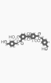 O=C(O)c1cc(C(c2ccc(C(=O)O)c(C(=O)OCc3ccc(CO)cc3)c2)(C(F)(F)F)C(F)(F)F)ccc1C(=O)OCc1ccc(CO)cc1